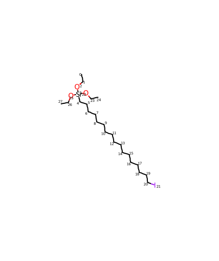 CCO[Si](CCCCCCCCCCCCCCCCCI)(OCC)OCC